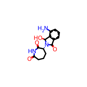 Nc1cccc2c1C(O)N([C@@H]1CCCC(=O)NC1=O)C2=O